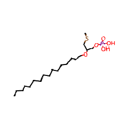 CCCCCCCCCCCCCCCCOC(COP(=O)(O)O)CSC